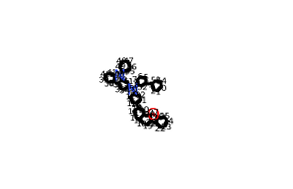 c1ccc(-c2cccc(N(c3ccc(-c4ccc5ccc6c7ccccc7oc6c5c4)cc3)c3ccc4c5ccccc5n(-c5ccccc5)c4c3)c2)cc1